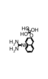 N=C(N)N.O=P(O)(O)O.c1ccc2ccccc2c1